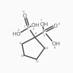 O=P(O)(O)C1(P(=O)(O)O)CCCC1